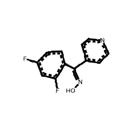 ON=C(c1ccncc1)c1ccc(F)cc1F